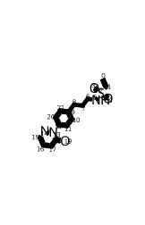 C=CS(=O)(=O)NCCCc1ccc(-n2ncccc2=O)cc1